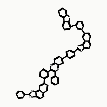 c1ccc(-c2nc3cc(-c4ccc(-c5nc6ccc7ccc(-c8cccc(-c9cccc%10c9sc9ccccc9%10)c8)cc7c6o5)cc4)ccc3nc2-c2cccc(-c3ccc4ccc5c(c4c3)OC(c3ccccc3)N5)c2)cc1